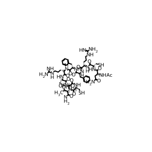 CC(=O)N[C@@H](CC(N)=O)C(=O)N[C@@H](CS)C(=O)N[C@@H](CCCNC(=N)N)C(=O)N[C@@H](Cc1ccccc1)C(=O)N[C@@H](Cc1ccccc1)C(=O)N[C@@H](CCCNC(=N)N)C(=O)N[C@@H](CO)C(=O)N[C@@H](C)C(=O)N[C@@H](CS)C(=O)N[C@H](C(N)=O)[C@@H](C)O